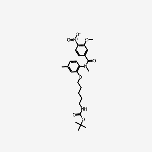 COc1cc(C(=O)N(C)c2ccc(C)cc2OCCCCCNC(=O)OC(C)(C)C)ccc1[N+](=O)[O-]